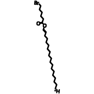 [2H]CCCCCCCCCCCCCCCCCC=COC(=O)CCCCCBr